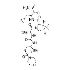 CN(C[C@@H](NC(=O)N[C@H](C(=O)N1C[C@H]2[C@@H]([C@H]1C(=O)NC(CC1CC1)C(=O)C(N)=O)C2(C)C)C(C)(C)C)C(C)(C)C)S(=O)(=O)N1CCOCC1